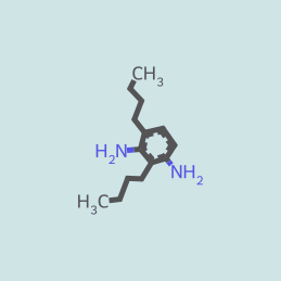 CCCCc1ccc(N)c(CCCC)c1N